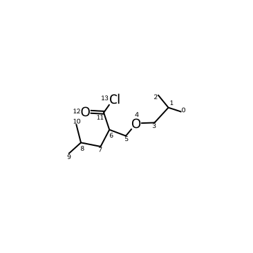 CC(C)COCC(CC(C)C)C(=O)Cl